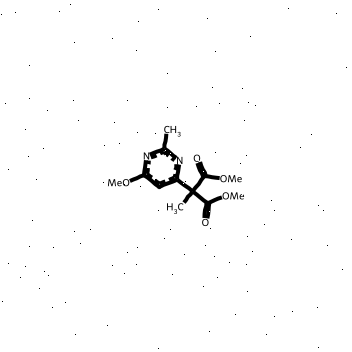 COC(=O)C(C)(C(=O)OC)c1cc(OC)nc(C)n1